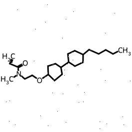 C=CC(=O)N(C)CCOC1CCC(C2CCC(CCCCC)CC2)CC1